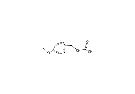 COc1ccc(COC(=O)O)cc1